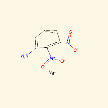 Nc1ccccc1[N+](=O)[O-].O=N[O-].[Na+]